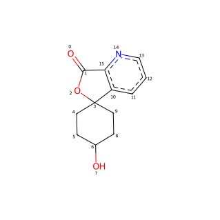 O=C1OC2(CCC(O)CC2)c2cccnc21